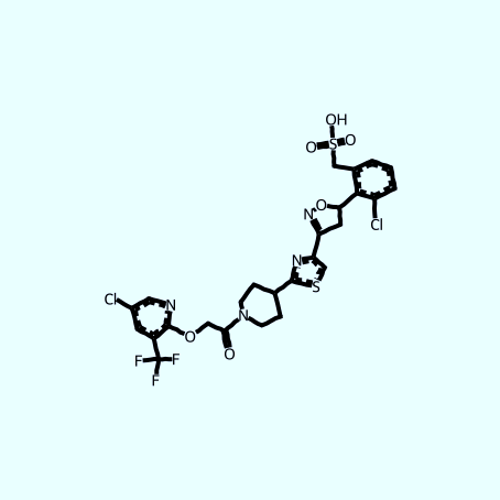 O=C(COc1ncc(Cl)cc1C(F)(F)F)N1CCC(c2nc(C3=NOC(c4c(Cl)cccc4CS(=O)(=O)O)C3)cs2)CC1